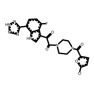 O=C(C(=O)N1CCN(C(=O)c2ccc(Cl)o2)CC1)c1c[nH]c2c(-c3nn[nH]n3)ccc(F)c12